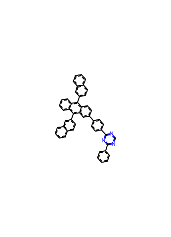 c1ccc(-c2ncnc(-c3ccc(-c4ccc5c(-c6ccc7ccccc7c6)c6ccccc6c(-c6ccc7ccccc7c6)c5c4)cc3)n2)cc1